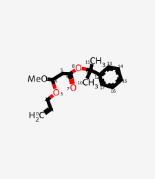 C=CCOC(CC(=O)OC(C)(C)c1ccccc1)OC